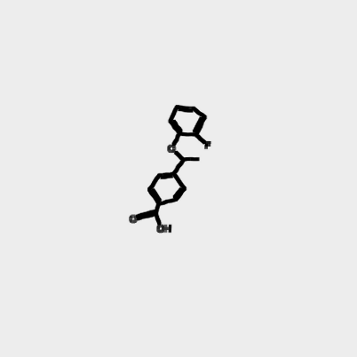 CC(Oc1ccccc1F)c1ccc(C(=O)O)cc1